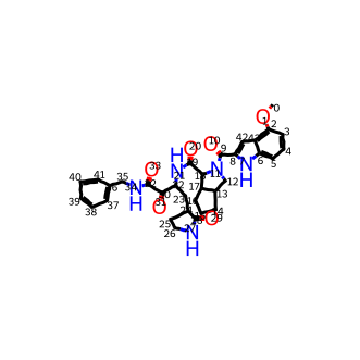 COc1cccc2[nH]c(C(=O)N3CC4CCCC4C3C(=O)NC(CC3CCNC3=O)C(=O)C(=O)NCc3ccccc3)cc12